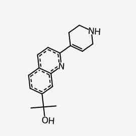 CC(C)(O)c1ccc2ccc(C3=CCNCC3)nc2c1